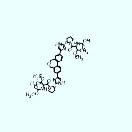 COC(=O)N[C@H](C(=O)N1CCC[C@H]1c1nc(-c2ccc3c(c2)COCc2cc(-c4c[nH]c([C@@H]5CCCN5C(=O)[C@@H](NC(=O)O)[C@@H](C)OC)n4)ccc2-3)c[nH]1)[C@@H](C)OC